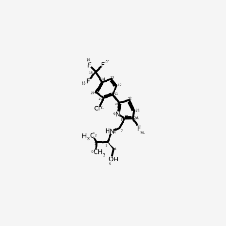 CC(C)[C@H](CO)NCc1nc(-c2ccc(C(F)(F)F)cc2Cl)ccc1F